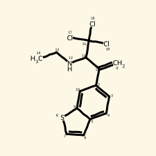 C=C(c1ccc2ccsc2c1)C(NCC)C(Cl)(Cl)Cl